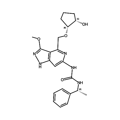 COc1n[nH]c2cc(NC(=O)N[C@H](C)c3ccccc3)nc(CO[C@@H]3CCC[C@@H]3O)c12